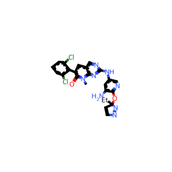 CCC1(Oc2ncc(Nc3ncc4cc(-c5c(Cl)cccc5Cl)c(=O)n(C)c4n3)cc2N)C=CN=N1